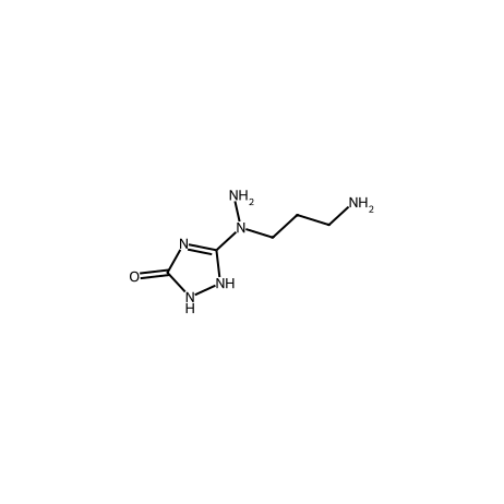 NCCCN(N)c1nc(=O)[nH][nH]1